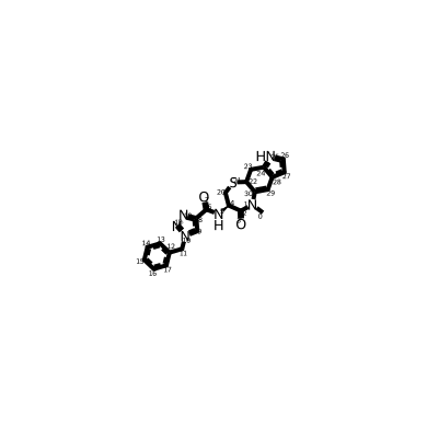 CN1C(=O)[C@@H](NC(=O)c2cn(Cc3ccccc3)nn2)CSC2Cc3[nH]ccc3C=C21